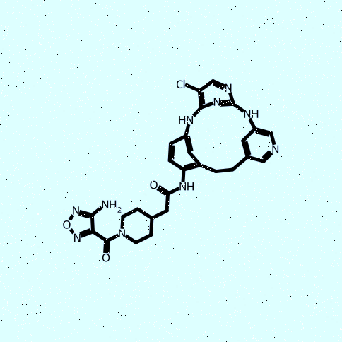 Nc1nonc1C(=O)N1CCC(CC(=O)Nc2ccc3cc2CCc2cncc(c2)Nc2ncc(Cl)c(n2)N3)CC1